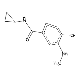 CNc1cc(C(=O)NC2CC2)ccc1C